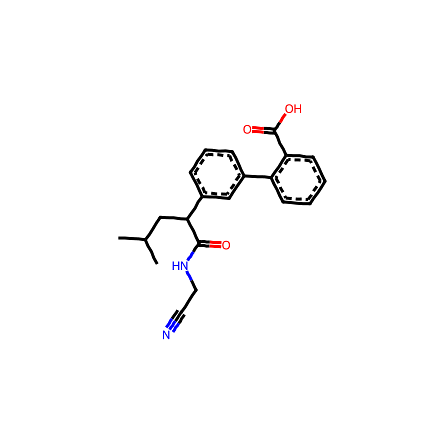 CC(C)CC(C(=O)NCC#N)c1cccc(-c2ccccc2C(=O)O)c1